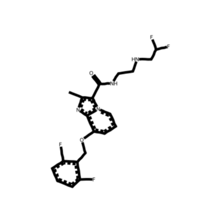 Cc1nc2c(OCc3c(F)cccc3F)cccn2c1C(=O)NCCNCC(F)F